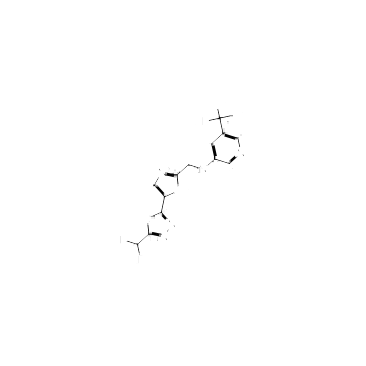 FC(F)c1nnc(-c2cnc(CNc3cncc(C(F)(F)F)c3)s2)o1